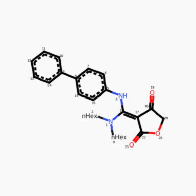 CCCCCCN(CCCCCC)C(Nc1ccc(-c2ccccc2)cc1)=C1C(=O)COC1=O